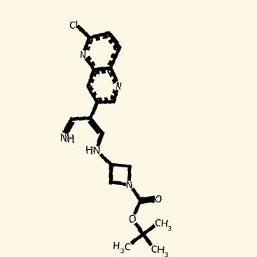 CC(C)(C)OC(=O)N1CC(N/C=C(\C=N)c2cnc3ccc(Cl)nc3c2)C1